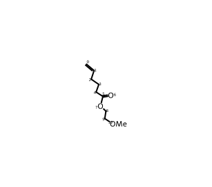 C=CCCCC(=O)OCCOC